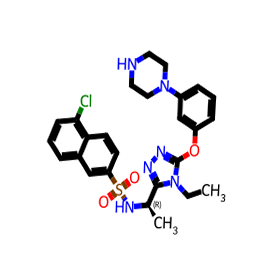 CCn1c(Oc2cccc(N3CCNCC3)c2)nnc1[C@@H](C)NS(=O)(=O)c1ccc2c(Cl)cccc2c1